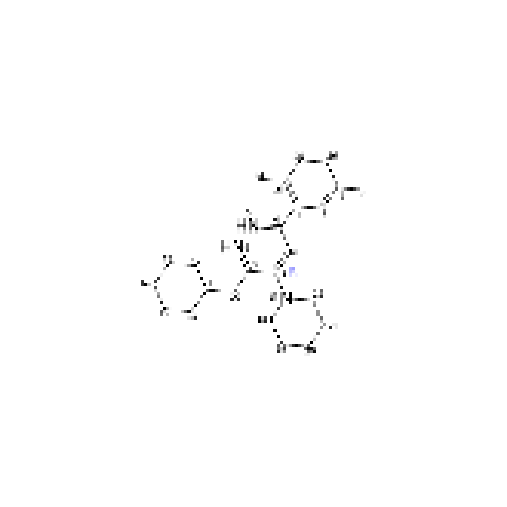 CC1=CC(C(=N)/C=C(\C(=N)CC2CCCCC2)N2CCCCC2)=C(C)CC1